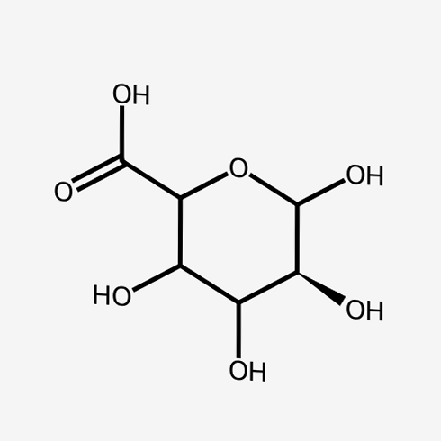 O=C(O)C1OC(O)[C@@H](O)C(O)C1O